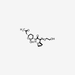 CC(=O)C[C@@H]1CC[C@H](NC(=O)/C(=N/OCCO)c2cccs2)B(O)O1